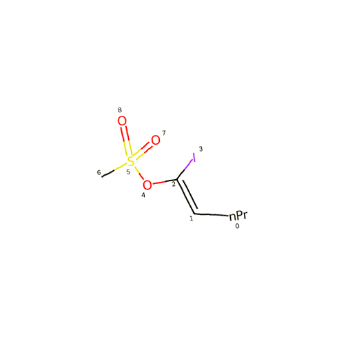 CCCC=C(I)OS(C)(=O)=O